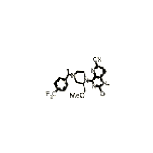 COCC1CN(C(C)c2ccc(C(F)(F)F)cc2)CCN1c1nc(=O)n(C)c2ccc(C#N)nc12